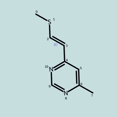 CS/C=C/c1cc(C)ncn1